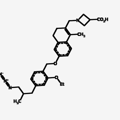 CCOc1cc(CC(C)CN=[N+]=[N-])ccc1COc1ccc2c(c1)CCC(CN1CC(C(=O)O)C1)=C2C